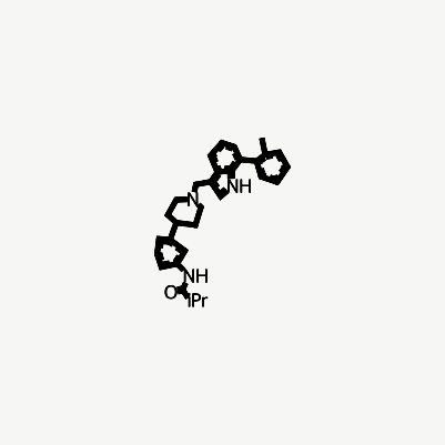 Cc1ccccc1-c1cccc2c(CN3CCC(c4cccc(NC(=O)C(C)C)c4)CC3)c[nH]c12